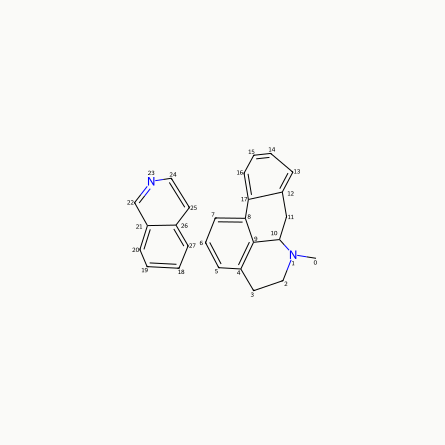 CN1CCc2cccc3c2C1Cc1ccccc1-3.c1ccc2cnccc2c1